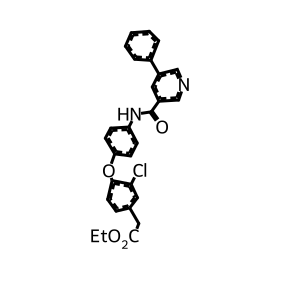 CCOC(=O)Cc1ccc(Oc2ccc(NC(=O)c3cncc(-c4ccccc4)c3)cc2)c(Cl)c1